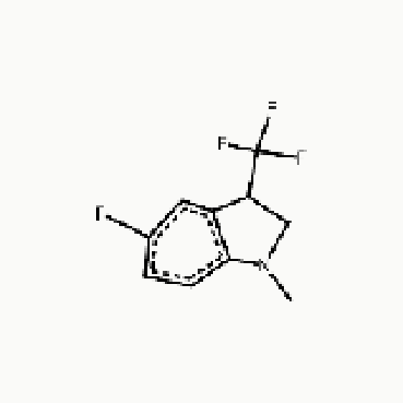 CN1CC(C(F)(F)F)c2cc(F)ccc21